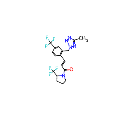 Cc1nnn(Cc2cc(C(F)(F)F)ccc2C=CC(=O)N2CCCC2C(F)(F)F)n1